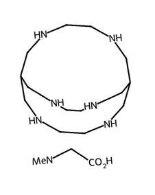 C1CNCC2CNCCNCC(CN1)CNCCNC2.CNCC(=O)O